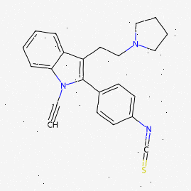 C#Cn1c(-c2ccc(N=C=S)cc2)c(CCN2CCCC2)c2ccccc21